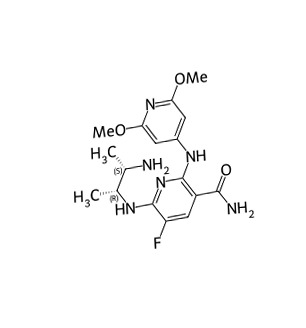 COc1cc(Nc2nc(N[C@H](C)[C@H](C)N)c(F)cc2C(N)=O)cc(OC)n1